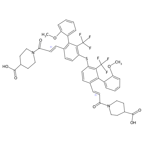 COc1ccccc1-c1c(/C=C/C(=O)N2CCC(C(=O)O)CC2)ccc(Sc2ccc(/C=C/C(=O)N3CCC(C(=O)O)CC3)c(-c3ccccc3OC)c2C(F)(F)F)c1C(F)(F)F